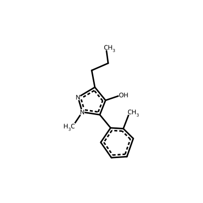 CCCc1nn(C)c(-c2ccccc2C)c1O